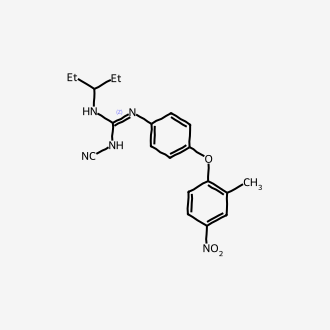 CCC(CC)N/C(=N/c1ccc(Oc2ccc([N+](=O)[O-])cc2C)cc1)NC#N